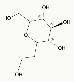 OCCC1OC(CO)[C@H](O)[C@@H](O)[C@@H]1O